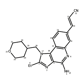 CCc1nc2c(N)nc3cc(/C=C/C#N)ccc3c2n1CC1CCOCC1